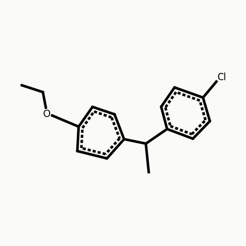 CCOc1ccc(C(C)c2ccc(Cl)cc2)cc1